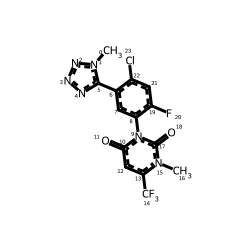 Cn1nnnc1-c1cc(-n2c(=O)cc(C(F)(F)F)n(C)c2=O)c(F)cc1Cl